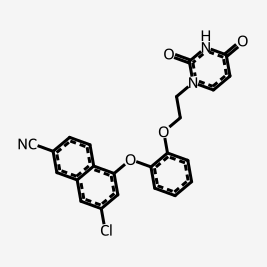 N#Cc1ccc2c(Oc3ccccc3OCCn3ccc(=O)[nH]c3=O)cc(Cl)cc2c1